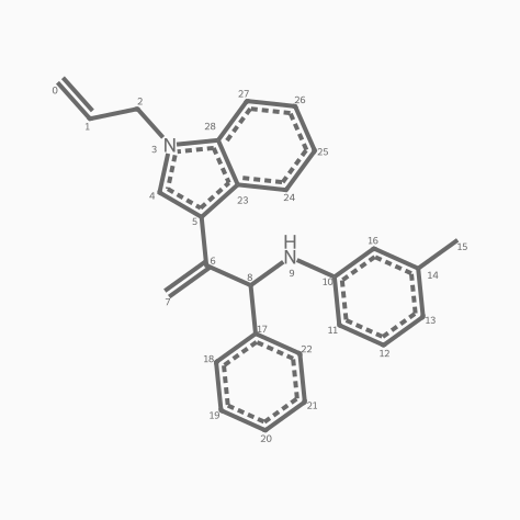 C=CCn1cc(C(=C)C(Nc2cccc(C)c2)c2ccccc2)c2ccccc21